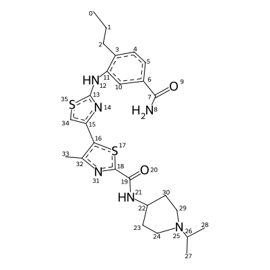 CCCc1ccc(C(N)=O)cc1Nc1nc(-c2sc(C(=O)NC3CCN(C(C)C)CC3)nc2C)cs1